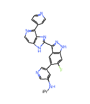 CC(C)Nc1cncc(-c2cc3c(-c4nc5c(-c6ccncc6)nccc5[nH]4)n[nH]c3cc2F)c1